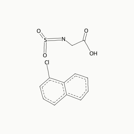 Clc1cccc2ccccc12.O=C(O)CN=S(=O)=O